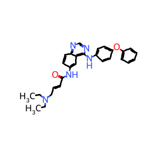 CCN(CC)C/C=C/C(=O)Nc1ccc2ncnc(Nc3ccc(Oc4ccccc4)cc3)c2c1